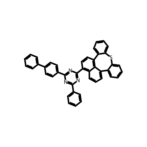 c1ccc(-c2ccc(-c3nc(-c4ccccc4)nc(-c4ccc5c6c(cccc46)-c4ccccc4Sc4ccccc4-5)n3)cc2)cc1